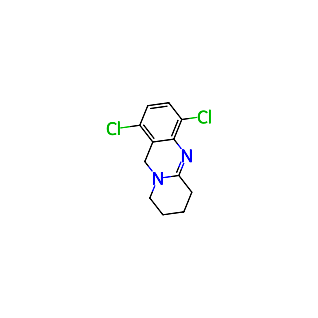 Clc1ccc(Cl)c2c1CN1CCCCC1=N2